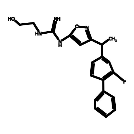 CC(c1ccc(-c2ccccc2)c(F)c1)c1cc(NC(=N)NCCO)on1